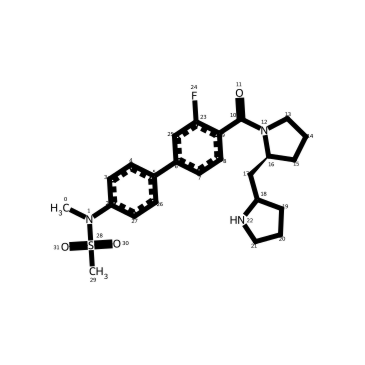 CN(c1ccc(-c2ccc(C(=O)N3CCC[C@H]3CC3CCCN3)c(F)c2)cc1)S(C)(=O)=O